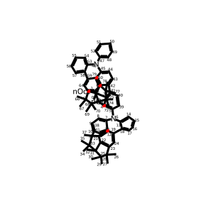 CCCCCCCCC1(CCCCCCCC)c2cc(N(c3ccccc3)c3ccccc3-c3cc4c5c(c3)C(C)(C)C(C)(C)C5(C)C(C)(C)C4(C)C)ccc2-c2ccc(N(c3ccccc3)c3ccccc3-c3cc4c5c(c3)C(C)(C)C(C)(C)C5(C)C(C)(C)C4(C)C)cc21